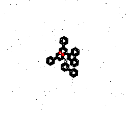 c1ccc(-c2cccc(-c3c(N(c4cccc(-c5ccccc5)c4)c4cccc(-c5ccccc5)c4)c4ccccc4c4ccccc34)c2)cc1